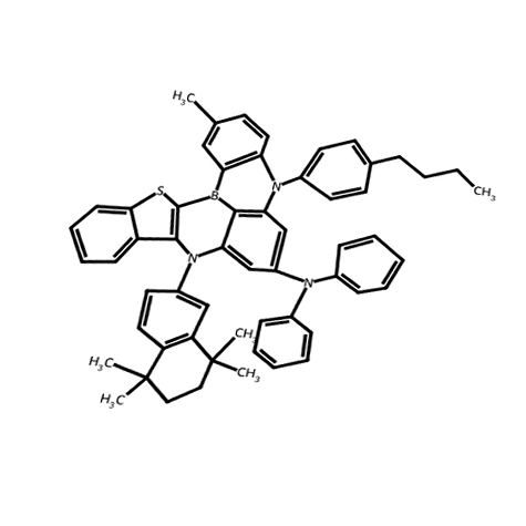 CCCCc1ccc(N2c3ccc(C)cc3B3c4sc5ccccc5c4N(c4ccc5c(c4)C(C)(C)CCC5(C)C)c4cc(N(c5ccccc5)c5ccccc5)cc2c43)cc1